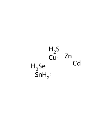 S.[Cd].[Cu].[SeH2].[SnH2].[Zn]